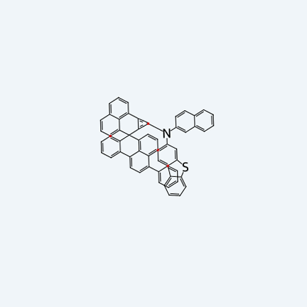 c1ccc(-c2ccc3c4c(cccc24)C2(c4cc(N(c5ccc6ccccc6c5)c5ccc6c(c5)sc5ccccc56)ccc4-c4cccc5cccc2c45)c2ccccc2-3)cc1